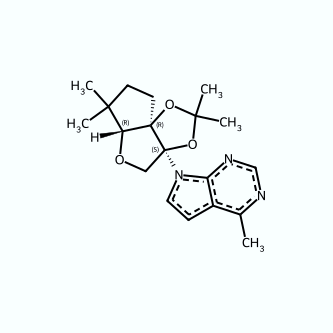 Cc1ncnc2c1ccn2[C@]12CO[C@@H]3C(C)(C)CC[C@@]31OC(C)(C)O2